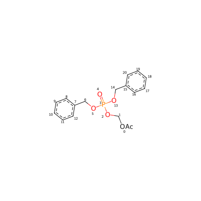 CC(=O)OCOP(=O)(OCc1ccccc1)OCc1ccccc1